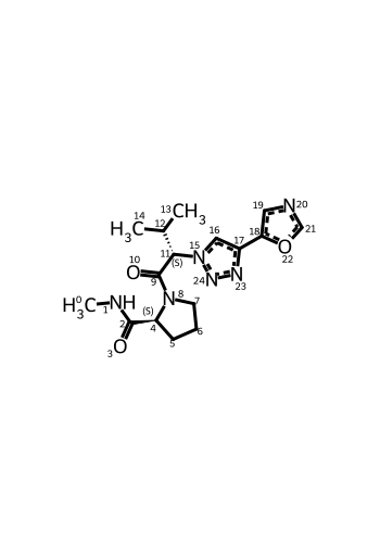 CNC(=O)[C@@H]1CCCN1C(=O)[C@H](C(C)C)n1cc(-c2cnco2)nn1